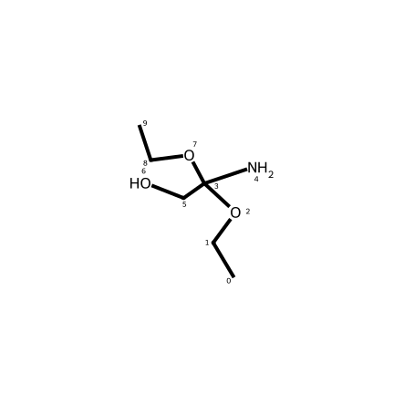 CCOC(N)(CO)OCC